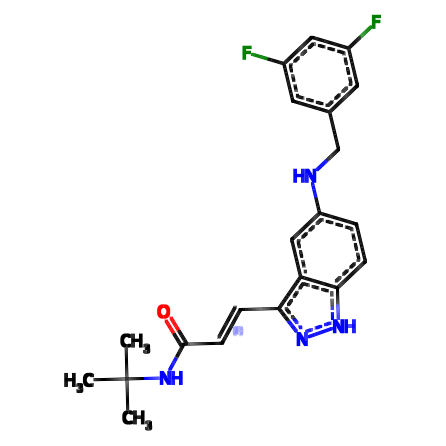 CC(C)(C)NC(=O)/C=C/c1n[nH]c2ccc(NCc3cc(F)cc(F)c3)cc12